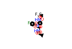 CC(C)(OC(=O)Nc1ccc2c(c1)N(S(=O)(=O)c1ccc(F)cc1)C[C@H](CNS(=O)(=O)CC1CC1)O2)C(F)(F)F